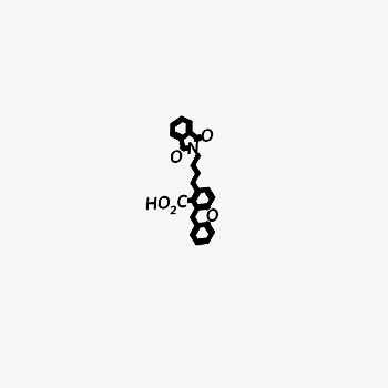 O=C(O)c1c(CCCCN2C(=O)c3ccccc3C2=O)ccc2c1Cc1ccccc1O2